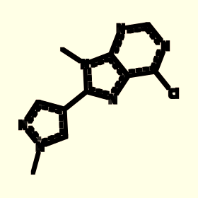 Cn1cc(-c2nc3c(Cl)ncnc3n2C)cn1